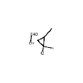 CC1CC1(F)Cl.O=CO